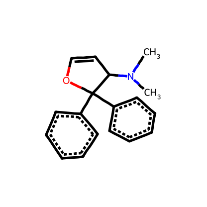 CN(C)C1C=COC1(c1ccccc1)c1ccccc1